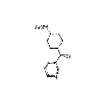 CC(=O)NC1CCC(C(=O)c2cccnc2)CC1